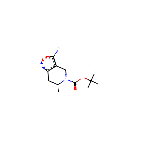 C[C@H]1Cc2noc(N)c2CN1C(=O)OC(C)(C)C